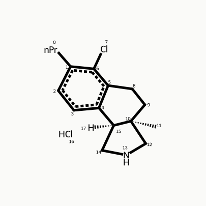 CCCc1ccc2c(c1Cl)CC[C@@]1(C)CNC[C@@H]21.Cl